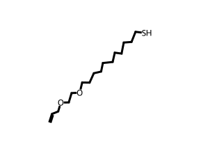 C=CCOCCOCCCCCCCCCCCS